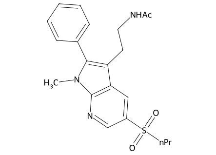 CCCS(=O)(=O)c1cnc2c(c1)c(CCNC(C)=O)c(-c1ccccc1)n2C